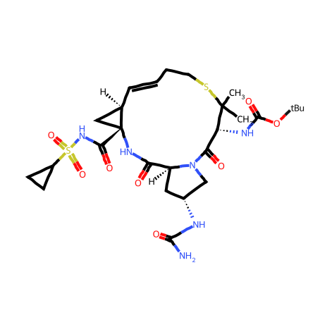 CC(C)(C)OC(=O)N[C@@H]1C(=O)N2C[C@H](NC(N)=O)C[C@H]2C(=O)N[C@]2(C(=O)NS(=O)(=O)C3CC3)C[C@H]2/C=C/CCSC1(C)C